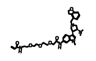 C=CC(=O)NCCOCCOCCOCC(=O)Nc1ccc2c([C@H]3CN(Cc4cccc5c4CCO5)C[C@@H]3N(C)C)cn(C)c2c1